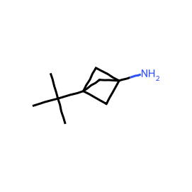 CC(C)(C)C12CC(N)(C1)C2